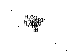 C=CCOCc1ccc(Br)nc1NC(=O)[C@@H]1C[C@@]2(Cn3cc(I)cn3)C[C@H]2N1C(=O)OC(C)(C)C